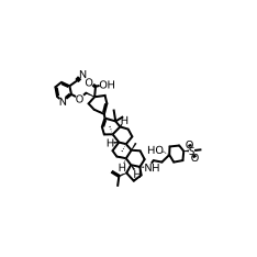 C=C(C)[C@@H]1CC[C@]2(NCC[C@]3(O)CC[C@H](S(C)(=O)=O)CC3)CC[C@]3(C)[C@H](CC[C@@H]4[C@@]5(C)CC=C(C6=CC[C@@](COc7ncccc7C#N)(C(=O)O)CC6)C(C)(C)[C@@H]5CC[C@]43C)[C@@H]12